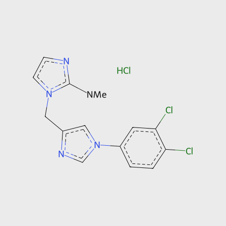 CNc1nccn1Cc1cn(-c2ccc(Cl)c(Cl)c2)cn1.Cl